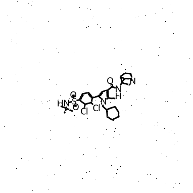 Cc1c(C(=O)NC2CN3CCC2CC3)cc(C2=CC=C(S(=O)(=O)NC(C)(C)C)C(Cl)C2Cl)n1CC1CCCCC1